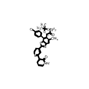 CC(=O)[C@@H](OC(C)(C)C)c1c(C)cc2nc(-c3ccnc(-c4ccc[nH]c4=O)c3)sc2c1-c1ccc(Cl)cc1